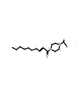 CCCCCCCC=CC(=O)N1CCN(C(C)C)CC1